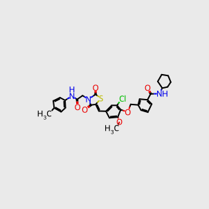 COc1cc(/C=C2\SC(=O)N(CC(=O)Nc3ccc(C)cc3)C2=O)cc(Cl)c1OCc1cccc(C(=O)NC2CCCCC2)c1